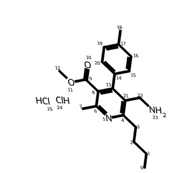 CCCCc1nc(C)c(C(=O)OC)c(-c2ccc(C)cc2)c1CN.Cl.Cl